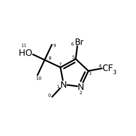 Cn1nc(C(F)(F)F)c(Br)c1C(C)(C)O